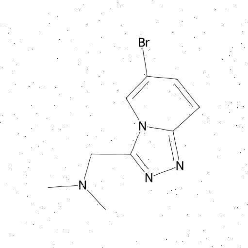 CN(C)Cc1nnc2ccc(Br)cn12